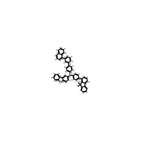 CC1(C)c2ccccc2-c2cccc(-c3ccc(N(c4ccc(-c5cccc(-c6cccc7ccccc67)c5)cc4)c4ccc5oc6ccccc6c5c4)cc3)c21